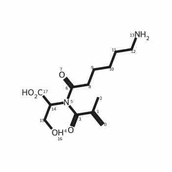 C=C(C)C(=O)N(C(=O)CCCCCN)C(CO)C(=O)O